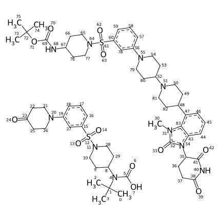 CC(C)(C)N(C(=O)O)C1CCN(S(=O)(=O)c2cccc(N3CCC(=O)CC3)c2)CC1.Cn1c(=O)n(C2CCC(=O)NC2=O)c2cccc(C3CCN(C4CCN(c5cccc(S(=O)(=O)N6CCC(NC(=O)OC(C)(C)C)CC6)c5)CC4)CC3)c21